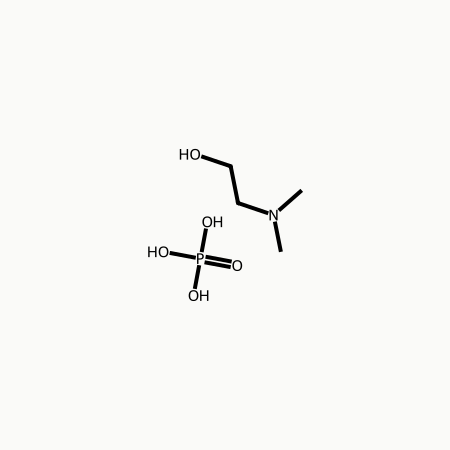 CN(C)CCO.O=P(O)(O)O